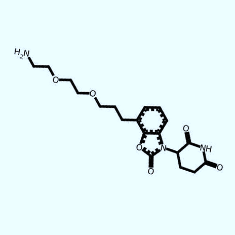 NCCOCCOCCCc1cccc2c1oc(=O)n2C1CCC(=O)NC1=O